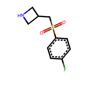 O=S(=O)(CC1CNC1)c1ccc(F)cc1